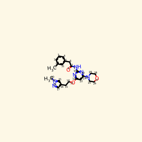 Cc1cccc(CC(=O)Nc2nc(OCCc3cnn(C)c3)cc(N3CCOCC3)n2)c1